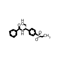 CCS(=O)(=O)c1ccc([C@@H](CO)NC(=O)c2ccccc2)cc1